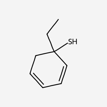 CCC1(S)C=CC=CC1